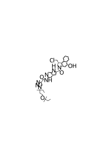 CCC(C)(C)OCCC(C)(CC)n1cc(C(=O)Nc2cc3cc(C(=O)N4C[C@@H](CCl)c5c4cc(O)c4ccccc54)[nH]c3cn2)nn1